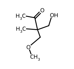 COCC(C)(CO)C(C)=O